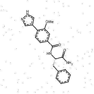 COc1cc(C(=O)N[C@@H](Cc2ccccc2)C(N)=O)ccc1-c1cn[nH]c1